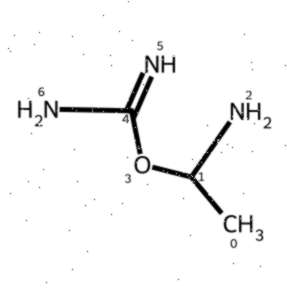 CC(N)OC(=N)N